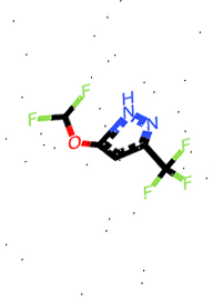 FC(F)Oc1cc(C(F)(F)F)n[nH]1